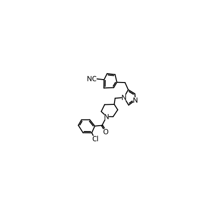 N#Cc1ccc(Cc2cncn2CC2CCN(C(=O)c3ccccc3Cl)CC2)cc1